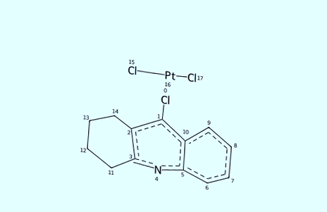 Clc1c2c(nc3ccccc13)CCCC2.[Cl][Pt][Cl]